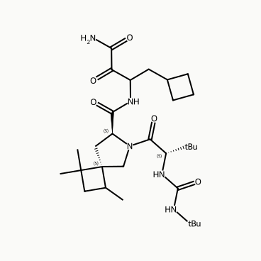 CC1CC(C)(C)[C@]12C[C@@H](C(=O)NC(CC1CCC1)C(=O)C(N)=O)N(C(=O)[C@@H](NC(=O)NC(C)(C)C)C(C)(C)C)C2